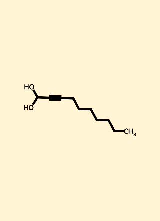 CCCCCCCC#CC(O)O